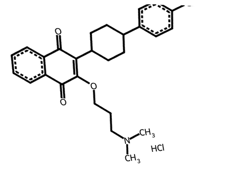 CN(C)CCCOC1=C(C2CCC(c3ccc(Cl)cc3)CC2)C(=O)c2ccccc2C1=O.Cl